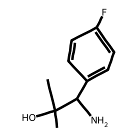 CC(C)(O)C(N)c1ccc(F)cc1